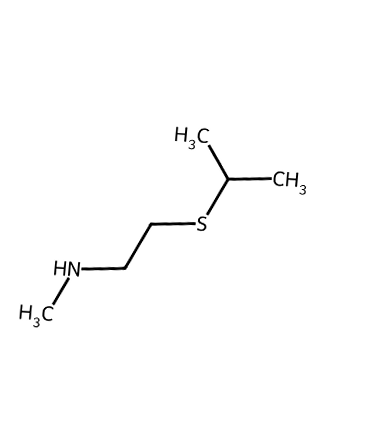 CNCCSC(C)C